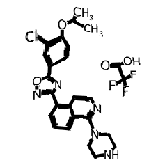 CC(C)Oc1ccc(-c2nc(-c3cccc4c(N5CCNCC5)nccc34)no2)cc1Cl.O=C(O)C(F)(F)F